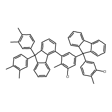 Cc1ccc(C2(c3ccc(C)c(C)c3)c3ccccc3-c3c(-c4cc(C5(c6ccc(C)c(Cl)c6)c6ccccc6-c6ccccc65)cc(Cl)c4C)cccc32)cc1C